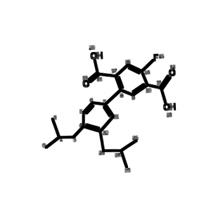 CC(C)Cc1ccc(-c2cc(C(=O)O)c(F)cc2C(=O)O)cc1CC(C)C